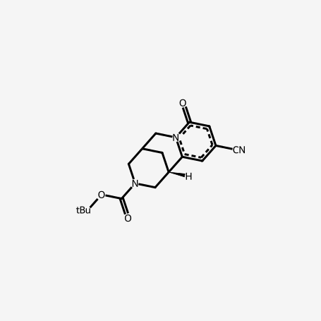 CC(C)(C)OC(=O)N1CC2C[C@@H](C1)c1cc(C#N)cc(=O)n1C2